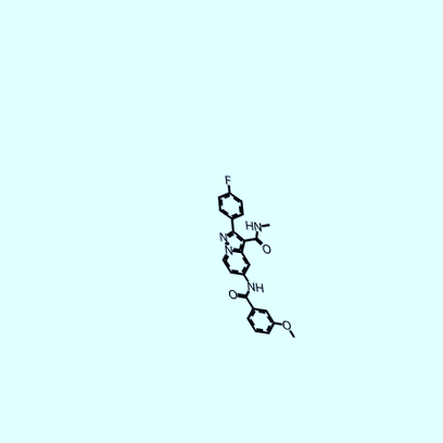 CNC(=O)c1c(-c2ccc(F)cc2)nn2ccc(NC(=O)c3cccc(OC)c3)cc12